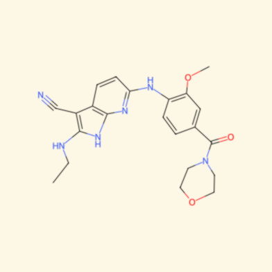 CCNc1[nH]c2nc(Nc3ccc(C(=O)N4CCOCC4)cc3OC)ccc2c1C#N